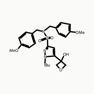 COc1ccc(CN(Cc2ccc(OC)cc2)S(=O)(=O)c2cc(C3(O)COC3)n(C(C)(C)C)n2)cc1